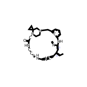 C=N/C1=C\C(=C/C)c2cnc(nc2)NCCCNC(=O)CN2CCN(Cc3cccc(c3)N1)CC21CC1